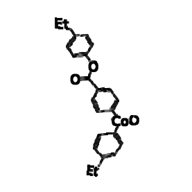 CCc1ccc(OC(=O)c2cc[c]([Co](=[O])[c]3ccc(CC)cc3)cc2)cc1